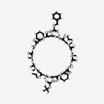 CC(C)[C@H]1C(=O)NC[C@@H](NC(=O)OC(C)(C)C)C(=O)N2CCCC[C@H]2C(=O)NCC(=O)N(C)CC(=O)N(C)[C@@H](C(C)C)C(=O)NC[C@@H](NC(=O)OCc2ccccc2)C(=O)N2CCCC[C@H]2C(=O)NCC(=O)N(C)CC(=O)N1C